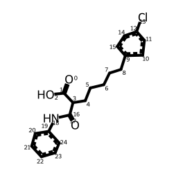 O=C(O)C(CCCCCc1ccc(Cl)cc1)C(=O)Nc1ccccc1